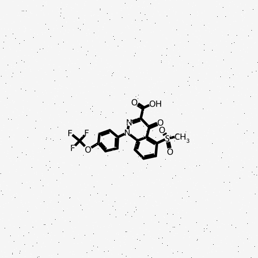 CS(=O)(=O)c1cccc2c1c(=O)c(C(=O)O)nn2-c1ccc(OC(F)(F)F)cc1